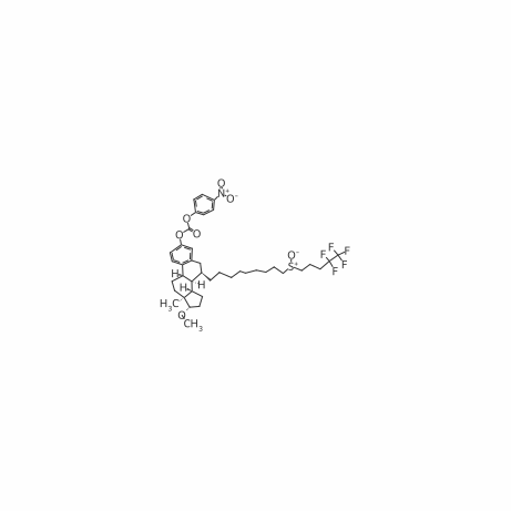 CO[C@H]1CC[C@H]2[C@@H]3[C@H](CCCCCCCCC[S+]([O-])CCCC(F)(F)C(F)(F)F)Cc4cc(OC(=O)Oc5ccc([N+](=O)[O-])cc5)ccc4[C@H]3CC[C@]12C